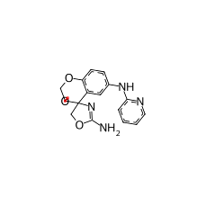 NC1=NC2(CO1)c1cc(Nc3ccccn3)ccc1OCC21COC1